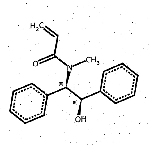 C=CC(=O)N(C)[C@H](c1ccccc1)[C@H](O)c1ccccc1